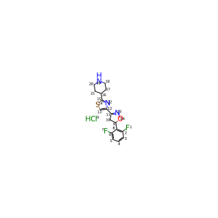 Cl.Fc1cccc(F)c1C1CC(c2csc(C3CCNCC3)n2)=NO1